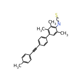 Cc1ccc(C#Cc2ccc(-c3cc(C)c(N=C=S)c(C)c3C)cc2)cc1